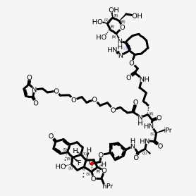 CCCC1O[C@@H]2C[C@H]3[C@@H]4CCC5=CC(=O)C=C[C@]5(C)[C@@]4(F)[C@@H](O)C[C@]3(C)[C@]2(C(=O)COc2ccc(NC(=O)[C@H](C)NC(=O)[C@@H](NC(=O)[C@@H](CCCCNC(=O)COC3CCCCC/C(N[C@@H]4O[C@H](CO)[C@H](O)[C@H](O)[C@H]4O)=C\3N=N)NC(=O)CCOCCOCCOCCOCCN3C(=O)C=CC3=O)C(C)C)cc2)O1